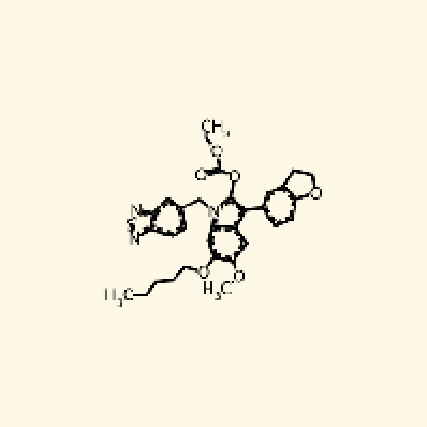 CCCCCOc1cc2c(cc1OC)c(-c1ccc3c(c1)CCO3)c(OC(=O)OCC)n2Cc1ccc2nsnc2c1